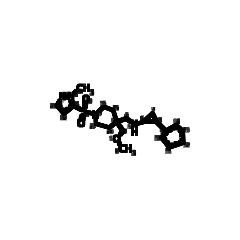 COCC1(CNC2CC2c2ccccc2)CCN(S(=O)(=O)c2ccnn2C)CC1